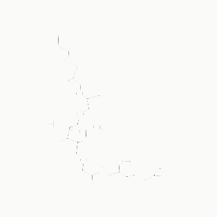 CCCCOCC(O)COC(C)COC1[C@H](OC)OC(COCC(C)OCC(O)COCC2CO2)C(C)[C@H]1O